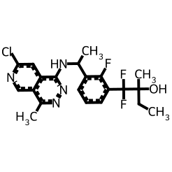 CCC(C)(O)C(F)(F)c1cccc(C(C)Nc2nnc(C)c3cnc(Cl)cc23)c1F